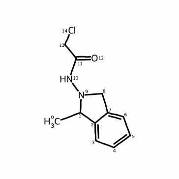 CC1c2ccccc2CN1NC(=O)CCl